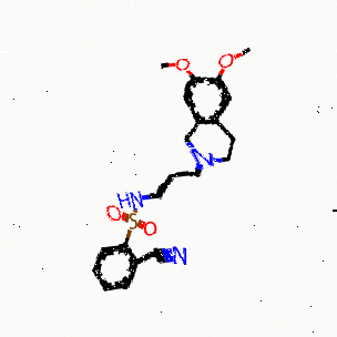 COc1cc2c(cc1OC)CN(CCCNS(=O)(=O)c1ccccc1C#N)CC2